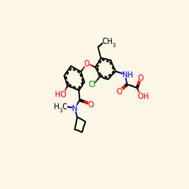 CCc1cc(NC(=O)C(=O)O)cc(Cl)c1Oc1ccc(O)c(C(=O)N(C)C2CCC2)c1